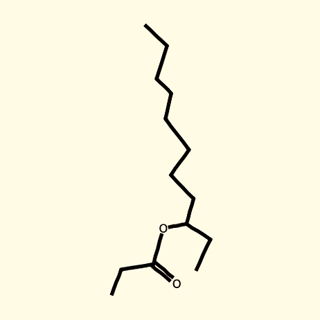 CCCCCCCCC(CC)OC(=O)CC